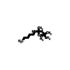 CCCCCNC(C)(C)SC(C)(C)N